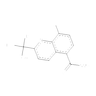 CNC(=O)c1ccc(F)c2nc(C(C)(C(C)(C)C)C(C)(C)C)ccc12